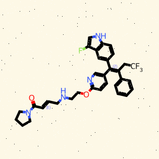 O=C(/C=C/CNCCOc1ccc(/C(=C(/CC(F)(F)F)c2ccccc2)c2ccc3[nH]cc(F)c3c2)cn1)N1CCCC1